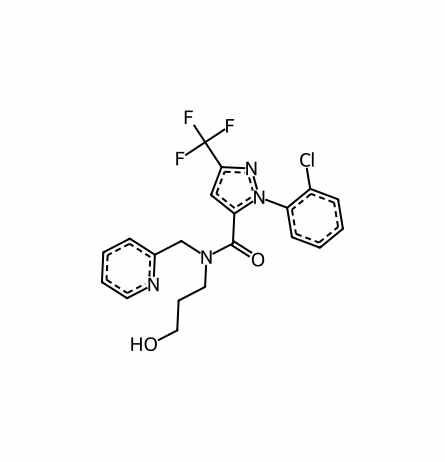 O=C(c1cc(C(F)(F)F)nn1-c1ccccc1Cl)N(CCCO)Cc1ccccn1